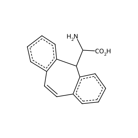 NC(C(=O)O)C1c2ccccc2C=Cc2ccccc21